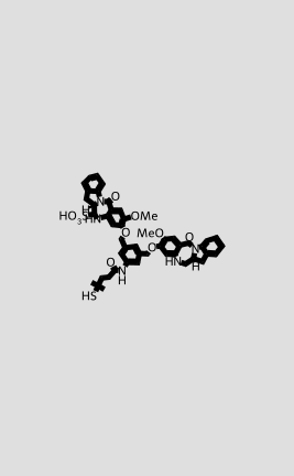 COc1cc2c(cc1OCc1cc(COc3cc4c(cc3OC)C(=O)N3c5ccccc5C[C@H]3C(S(=O)(=O)O)N4)cc(NC(=O)CCC(C)(C)S)c1)NC[C@@H]1Cc3ccccc3N1C2=O